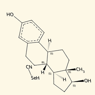 C[C@]12CC[C@@H]3c4ccc(O)cc4CC[C@H]3[C@@H]1CC[C@@H]2O.N#C[SeH]